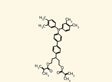 C=C(C)C(=O)OCCC(CCOC(=O)C(=C)C)c1ccc(-c2ccc(N(c3ccc(C)c(C)c3)c3ccc(C)c(C)c3)cc2)cc1